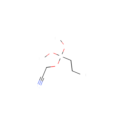 CCC[Si](OC)(OC)OCC#N